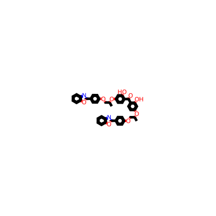 CC(COc1ccc(-c2nc3ccccc3o2)cc1)Oc1ccc(C(=O)c2ccc(OC(C)COc3ccc(-c4nc5ccccc5o4)cc3)cc2O)c(O)c1